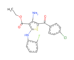 CCOC(=O)c1c(Nc2ccccc2F)sc(C(=O)c2ccc(Cl)cc2)c1N